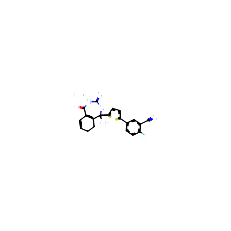 CN1C(=N)NC(C)(c2ccc(-c3ccc(F)c(C#N)c3)s2)C2=C(C=CCC2)C1=O